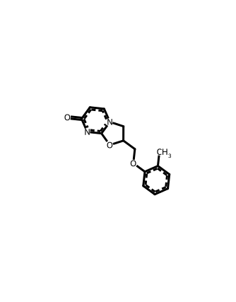 Cc1ccccc1OCC1Cn2ccc(=O)nc2O1